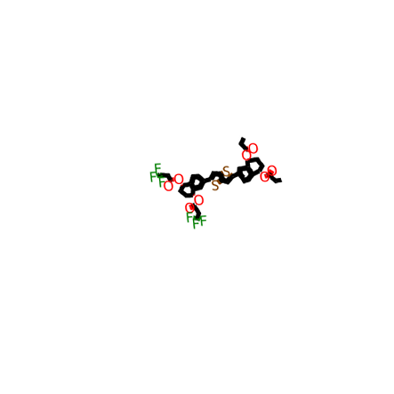 CCC(=O)OC1CCC(OC(=O)CC)c2cc(-c3cc4sc(-c5ccc6c(c5)C(OC(=O)CC(F)(F)F)CCC6OC(=O)CC(F)(F)F)cc4s3)ccc21